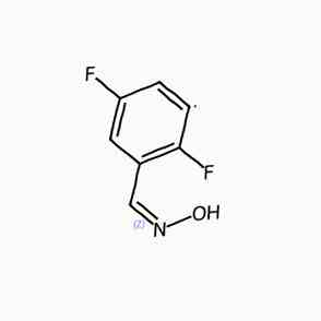 O/N=C\c1cc(F)c[c]c1F